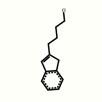 ClCCCCC1=Cc2ccccc2[CH]1